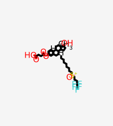 C[C@]12CC[C@@H]3c4ccc(OC(=O)CCC(=O)O)cc4C[C@@H](CCCCCCCCC[S+]([O-])CCCC(F)(F)C(F)(F)F)[C@H]3[C@@H]1CC[C@@H]2O